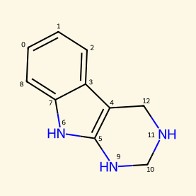 c1ccc2c3c([nH]c2c1)NCNC3